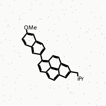 COc1ccc2cc(-c3ccc4ccc5cc(CC(C)C)cc6ccc3c4c56)ccc2c1